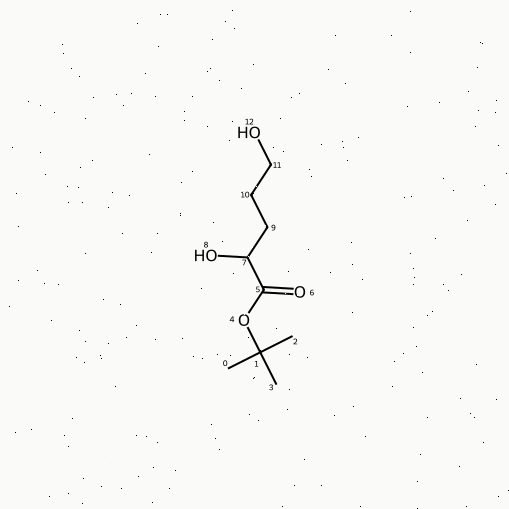 CC(C)(C)OC(=O)C(O)CCCO